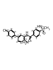 CS(=N)(=O)c1ccc(C(=O)Nc2cc(-c3ccc(Cl)cc3)ccc2N)cc1